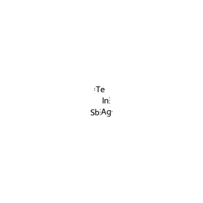 [Ag].[In].[Sb].[Te]